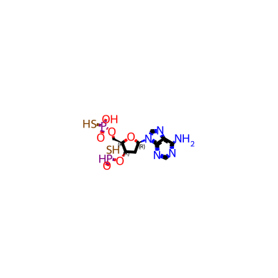 Nc1ncnc2c1ncn2[C@H]1C[C@@H](O[PH](=O)S)[C@@H](COP(=O)(O)S)O1